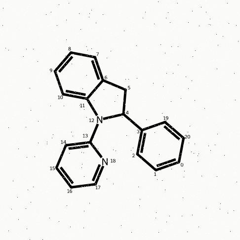 c1ccc(C2Cc3ccccc3N2c2ccccn2)cc1